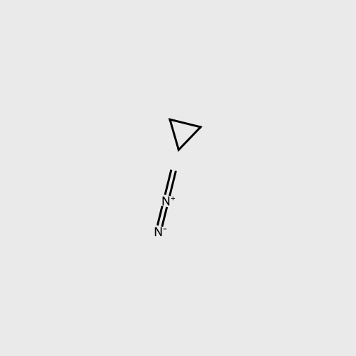 C1CC1.C=[N+]=[N-]